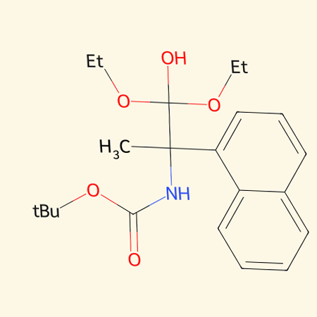 CCOC(O)(OCC)C(C)(NC(=O)OC(C)(C)C)c1cccc2ccccc12